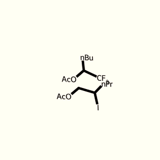 CCCC(I)COC(C)=O.CCCCC(OC(C)=O)C(F)(F)F